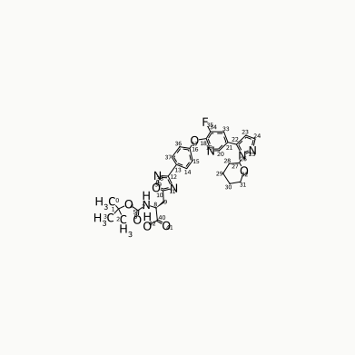 CC(C)(C)OC(=O)N[C@@H](Cc1nc(-c2ccc(Oc3ncc(-c4ccnn4C4CCCCO4)cc3F)cc2)no1)C(=O)O